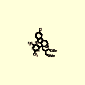 COCC(COC)CC1(c2nc(C(F)(F)F)nc(C(F)(F)F)n2)NCCc2c1[nH]c1ccc(Cl)cc21